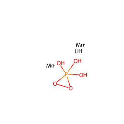 OP1(O)(O)OO1.[LiH].[Mn].[Mn]